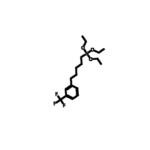 CCO[Si](CCCCCc1cccc(C(F)(F)F)c1)(OCC)OCC